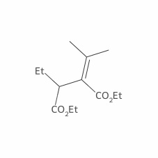 CCOC(=O)C(=C(C)C)C(CC)C(=O)OCC